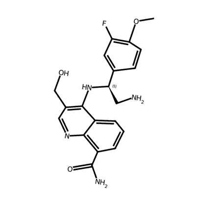 COc1ccc([C@@H](CN)Nc2c(CO)cnc3c(C(N)=O)cccc23)cc1F